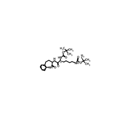 CC(C)(C)OC(=O)NCCCC[C@H](NC(=O)OC(C)(C)C)C(=O)NC1CCc2ccccc2NC1=O